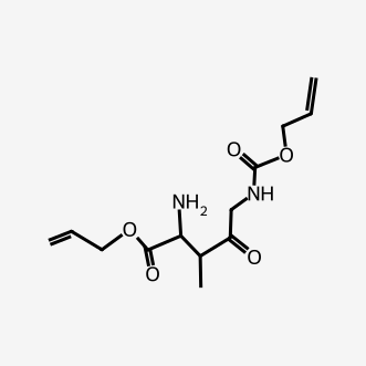 C=CCOC(=O)NCC(=O)C(C)C(N)C(=O)OCC=C